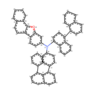 c1ccc(-c2cccc3cccc(-c4ccc(N(c5ccc6c(c5)oc5c7ccccc7ccc65)c5ccc(-c6cccc7ccccc67)c6ccccc56)cc4)c23)cc1